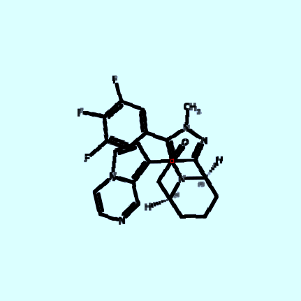 Cn1nc2c(c1-c1cc(F)c(F)c(F)c1)C[C@@H]1CCC[C@H]2N1C(=O)c1ccn2ccncc12